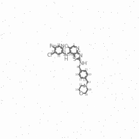 N#Cc1cnc2nc(NCc3ccc(CN4CCOCC4)cc3)sc2c1Nc1ccc(F)c(Cl)c1